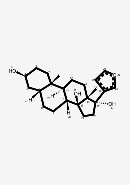 C[C@]12CC[C@H](O)C[C@H]1CC[C@@H]1[C@@H]2CC[C@]2(C)[C@@](O)(c3ccoc3)CC[C@]12O